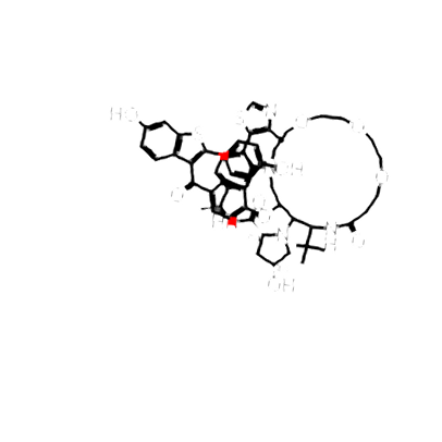 CCN1CCOCCOCCOCCC(=O)NC(C(C)(C)C)C(N2C[C@H](O)C[C@H]2C(=O)N[C@@H](C)c2ccc(-c3scnc3C)cc2)C(Oc2ccc(C(=O)c3c(-c4ccc(O)cc4)sc4cc(O)ccc34)cc2)C1